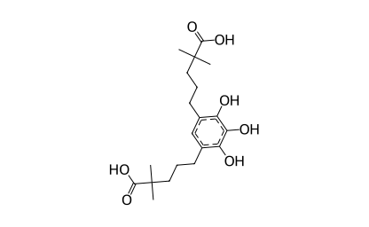 CC(C)(CCCc1cc(CCCC(C)(C)C(=O)O)c(O)c(O)c1O)C(=O)O